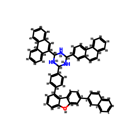 c1ccc2cc(-c3ccc4c(c3)oc3cccc(-c5ccc(C6NC(c7ccc8c(ccc9ccccc98)c7)NC(c7cc8ccccc8c8ccccc78)N6)cc5)c34)ccc2c1